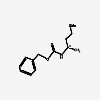 COCC[C@H](C)NC(=O)OCc1ccccc1